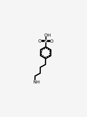 [NH]CCCCc1ccc(S(=O)(=O)O)cc1